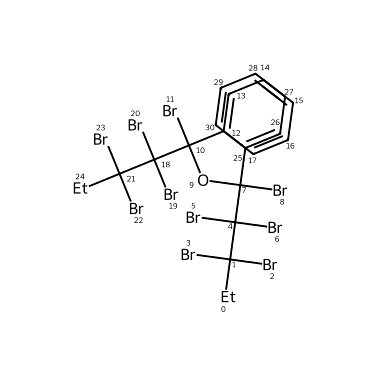 CCC(Br)(Br)C(Br)(Br)C(Br)(OC(Br)(c1ccccc1)C(Br)(Br)C(Br)(Br)CC)c1ccccc1